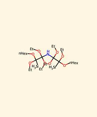 CCCCCCOC([SiH3])(OCC)C(NC(OCC)(OCC)C([SiH3])(OCC)OCCCCCC)(OCC)OCC